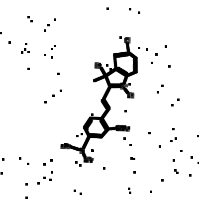 CCCN(CCC)c1ccc(/C=C/C2=[N+](CC)c3ccc(Cl)cc3C2(C)CC)c(OC)c1